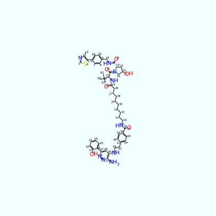 Cc1ncsc1-c1ccc(CNC(=O)[C@@H]2C[C@@H](O)CN2C(=O)[C@@H](NC(=O)CCCCCCCCCNC(=O)c2ccc(CCNc3cc(-c4ccccc4O)nnc3N)cc2)C(C)(C)C)cc1